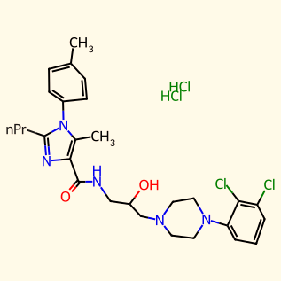 CCCc1nc(C(=O)NCC(O)CN2CCN(c3cccc(Cl)c3Cl)CC2)c(C)n1-c1ccc(C)cc1.Cl.Cl